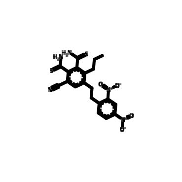 CCCc1c(CCc2ccc([N+](=O)[O-])cc2[N+](=O)[O-])cc(C#N)c(C(N)=S)c1C(N)=S